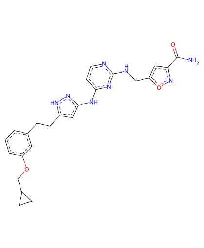 NC(=O)c1cc(CNc2nccc(Nc3cc(CCc4cccc(OCC5CC5)c4)[nH]n3)n2)on1